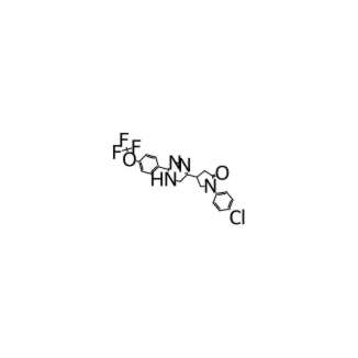 O=C1CC(C2=NN=C(c3ccc(OC(F)(F)F)cc3)NC2)CN1c1ccc(Cl)cc1